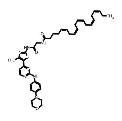 CC/C=C\C/C=C\C/C=C\C/C=C\C/C=C\CCCC(=O)NCC(=O)Nc1nc(C)c(-c2ccnc(Nc3ccc(N4CCOCC4)cc3)n2)s1